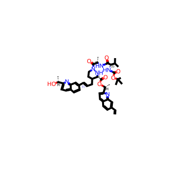 C=Cc1ccc2ccc([C@@H](C)OC(=O)[C@H]3NN(C(=O)[C@H](C)NC(=O)[C@@H](NC(=O)OC(C)(C)C)C(C)C)CCC3C/C=C/c3ccc4ccc([C@@H](C)O)nc4c3)nc2c1